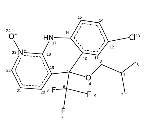 CC(C)COC1(C(F)(F)F)c2cc(Cl)ccc2Nc2c1ccc[n+]2[O-]